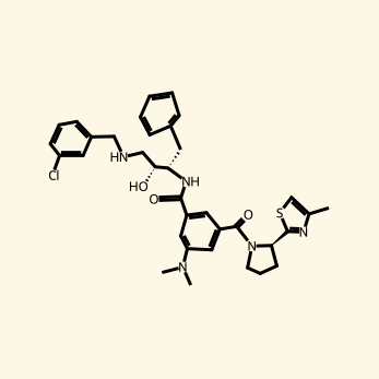 Cc1csc([C@H]2CCCN2C(=O)c2cc(C(=O)N[C@@H](Cc3ccccc3)[C@H](O)CNCc3cccc(Cl)c3)cc(N(C)C)c2)n1